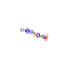 CCc1cnc(N2CCC(COc3ccc(C4CCN(S(C)(=O)=O)CC4)cn3)CC2)nc1